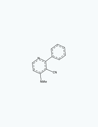 CNc1ccnc(-c2ccccc2)c1C#N